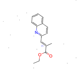 CCOC(=O)/C(C)=C/c1ccc2ccccc2n1